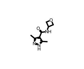 Cc1n[nH]c(C)c1C(=O)NC1COC1